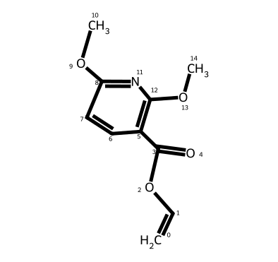 C=COC(=O)c1ccc(OC)nc1OC